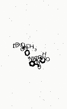 CN(C(=O)OC(C)(C)C)[C@H]1CC[C@H](CNc2cccc3c2C(=O)N(C2CCC(=O)NC2=O)C3=O)CC1